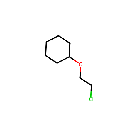 ClCCOC1C[CH]CCC1